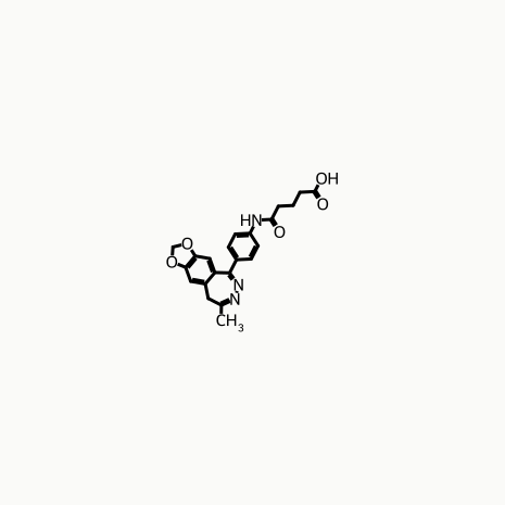 CC1=NN=C(c2ccc(NC(=O)CCCC(=O)O)cc2)c2cc3c(cc2C1)OCO3